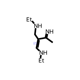 CCN/C=C(/CNCC)C(C)=N